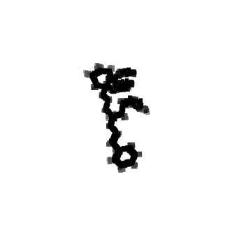 COC1(CCCN(CC=Cc2ccccc2)CCN)CCCC[Si]1(OC)OC.Cl